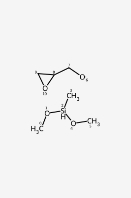 CO[SiH](C)OC.[O]CC1CO1